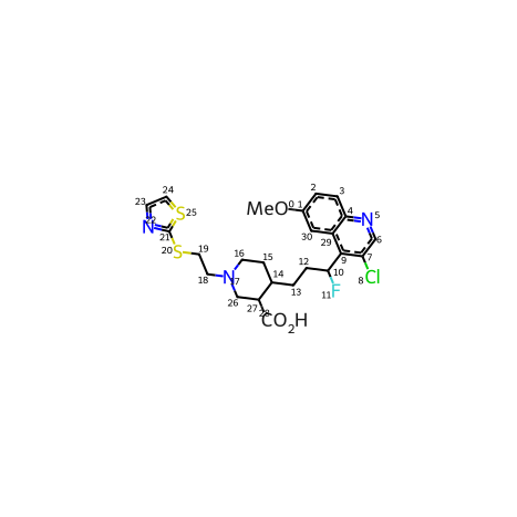 COc1ccc2ncc(Cl)c(C(F)CCC3CCN(CCSc4nccs4)CC3C(=O)O)c2c1